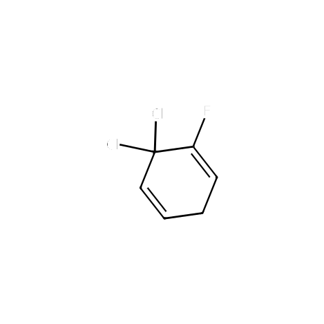 FC1=C[CH]C=CC1(Cl)Cl